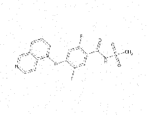 CS(=O)(=O)NC(=O)c1cc(F)c(Oc2cccc3cnccc23)cc1F